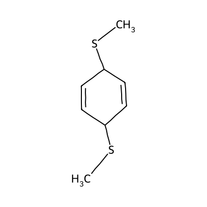 CSC1C=CC(SC)C=C1